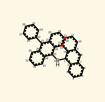 B(c1c2ccccc2cc2ccccc12)c1c2ccccc2c(-c2ccccc2)c2ccccc12